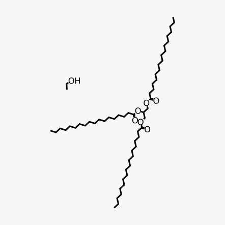 CCCCCCCCCCCCCCCCCC(=O)OCC(COC(=O)CCCCCCCCCCCCCCCCC)OC(=O)CCCCCCCCCCCCCCCCC.CCO